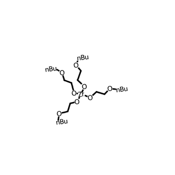 CCCCOCC[O][Zr]([O]CCOCCCC)([O]CCOCCCC)[O]CCOCCCC